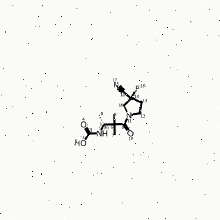 C[C@@H](NC(=O)O)C(C)(C)C(=O)N1CCC(F)(C#N)C1